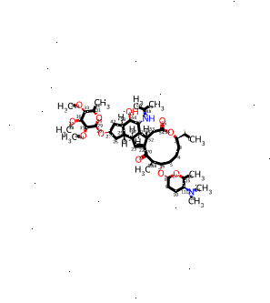 CC[C@H]1CCC[C@H](O[C@H]2CC[C@H](N(C)C)C(C)O2)[C@@H](C)C(=O)C2=C[C@H]3[C@@H]4C[C@H](O[C@@H]5OC(C)[C@H](OC)C(OC)C5OC)C[C@H]4[C@@H](O)[C@H](NC(C)C)[C@H]3[C@@H]2CC(=O)O1